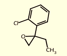 CCC1(c2ccccc2Cl)CO1